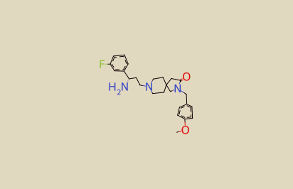 COc1ccc(CN2CC3(CCN(CC[C@H](N)c4cccc(F)c4)CC3)CC2=O)cc1